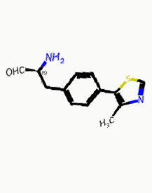 Cc1ncsc1-c1ccc(C[C@H](N)C=O)cc1